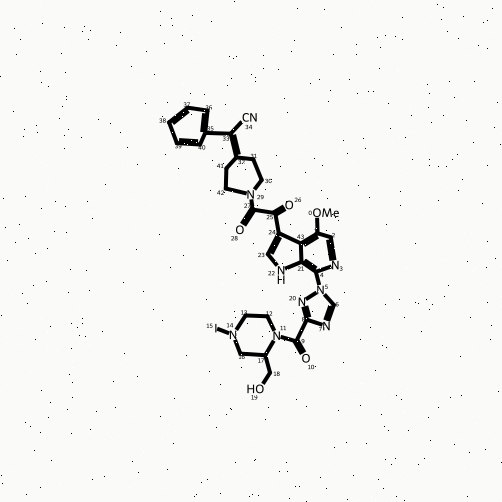 COc1cnc(-n2cnc(C(=O)N3CCN(I)CC3CO)n2)c2[nH]cc(C(=O)C(=O)N3CCC(=C(C#N)c4ccccc4)CC3)c12